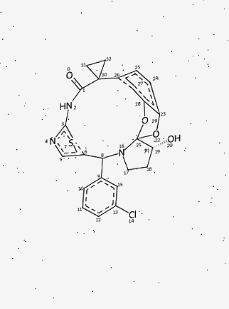 O=C1Nc2ncc(s2)C(c2cccc(Cl)c2)N2CC[C@@H](O)C23Oc2ccc(cc2O3)C12CC2